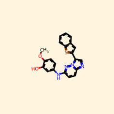 COc1ccc(Nc2ccc3ncc(-c4cc5ccccc5s4)n3n2)cc1O